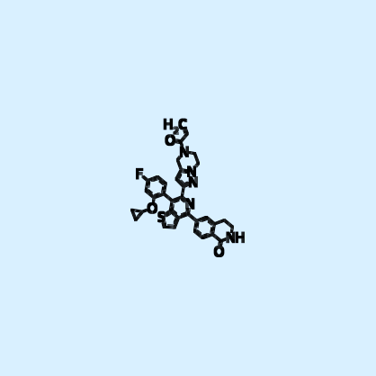 C=CC(=O)N1CCn2nc(-c3nc(-c4ccc5c(c4)CCNC5=O)c4ccsc4c3-c3ccc(F)cc3OC3CC3)cc2C1